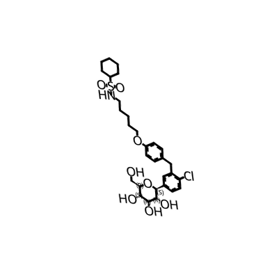 O=S(=O)(NCCCCCOc1ccc(Cc2cc([C@@H]3O[C@H](CO)[C@@H](O)[C@H](O)[C@H]3O)ccc2Cl)cc1)C1CCCCC1